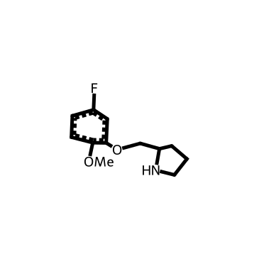 COc1ccc(F)cc1OCC1CCCN1